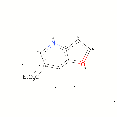 CCOC(=O)c1cnc2ccoc2c1